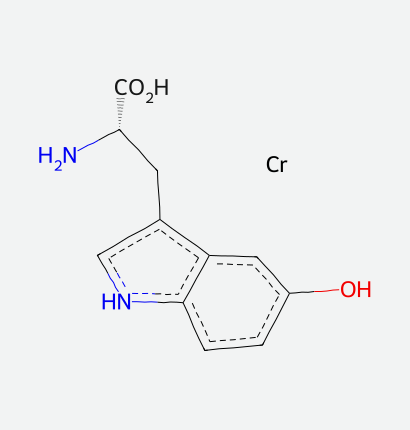 N[C@@H](Cc1c[nH]c2ccc(O)cc12)C(=O)O.[Cr]